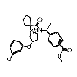 COC(=O)c1ccc([C@H](C)NC(=O)C2(N3CC[C@@H](Oc4cccc(Cl)c4)C3)CCCC2)cc1